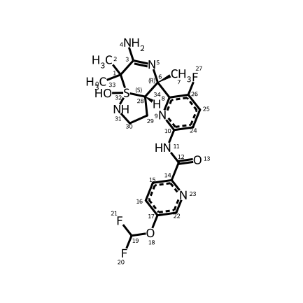 CC1(C)C(N)=N[C@](C)(c2nc(NC(=O)c3ccc(OC(F)F)cn3)ccc2F)[C@@H]2CCNS21O